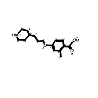 Cc1cc(OCCCC2CCNCC2)ccc1C(=O)O